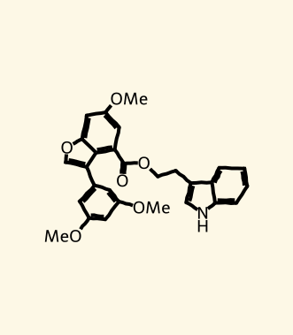 COc1cc(OC)cc(-c2coc3cc(OC)cc(C(=O)OCCc4c[nH]c5ccccc45)c23)c1